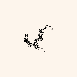 CCCCOC(=O)N1CCN(C(=O)CNC(=O)c2cc(OCC(=O)N3Cc4cn[nH]c4C3)c3ccc(C)cc3n2)CC1